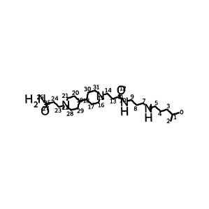 CC(C)CCCNCCCNC(=O)CCN1CCC(C2CCN(CCC(N)=O)CC2)CC1